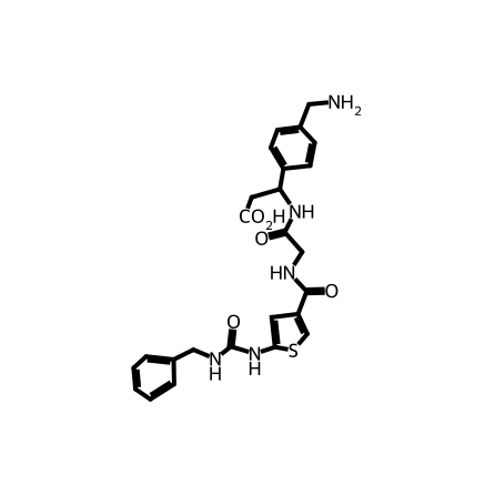 NCc1ccc(C(CC(=O)O)NC(=O)CNC(=O)c2csc(NC(=O)NCc3ccccc3)c2)cc1